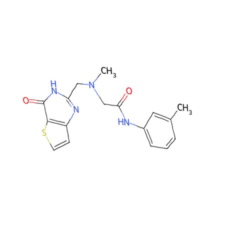 Cc1cccc(NC(=O)CN(C)Cc2nc3ccsc3c(=O)[nH]2)c1